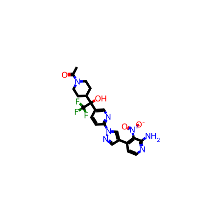 CC(=O)N1CCC(C(O)(c2ccc(-n3cc(-c4ccnc(N)c4[N+](=O)[O-])cn3)nc2)C(F)(F)F)CC1